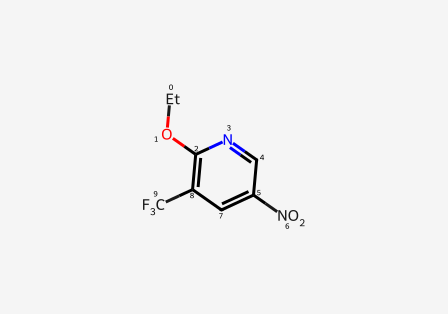 CCOc1ncc([N+](=O)[O-])cc1C(F)(F)F